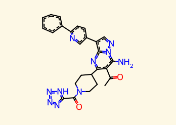 CC(=O)c1c(C2CCN(C(=O)c3nnn[nH]3)CC2)nc2c(-c3ccc(-c4ccccc4)nc3)cnn2c1N